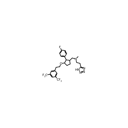 CN(CCc1nnn[nH]1)CC1CCC(OCCc2cc(C(F)(F)F)cc(C(F)(F)F)c2)C1c1ccc(F)cc1